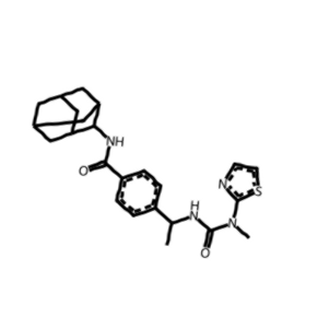 CC(NC(=O)N(C)c1nccs1)c1ccc(C(=O)NC2C3CC4CC(C3)CC2C4)cc1